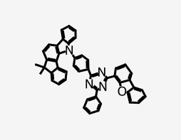 CC1(C)c2ccccc2-c2c1ccc1c3ccccc3n(-c3ccc(-c4nc(-c5ccccc5)nc(-c5cccc6c5oc5ccccc56)n4)cc3)c21